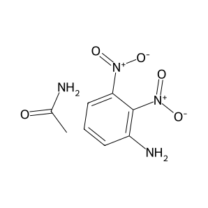 CC(N)=O.Nc1cccc([N+](=O)[O-])c1[N+](=O)[O-]